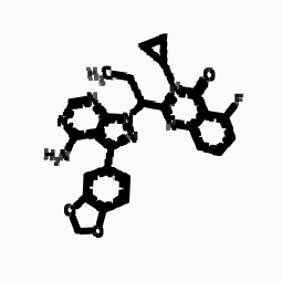 CCC(c1nc2cccc(F)c2c(=O)n1C1CC1)n1nc(-c2ccc3c(c2)OCO3)c2c(N)ncnc21